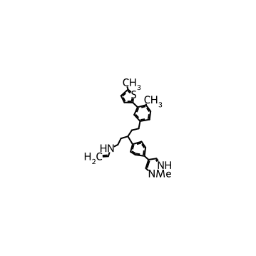 C=CNCCC(CCc1ccc(C)c(-c2ccc(C)s2)c1)c1ccc(/C(C=N)=C/NC)cc1